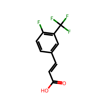 O=C(O)C=Cc1ccc(F)c(C(F)(F)F)c1